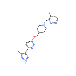 Cc1cccnc1CN1CCC(COc2ccc(-c3cn(C)nc3C)nn2)CC1